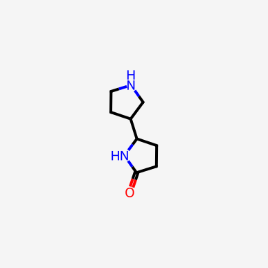 O=C1CCC(C2CCNC2)N1